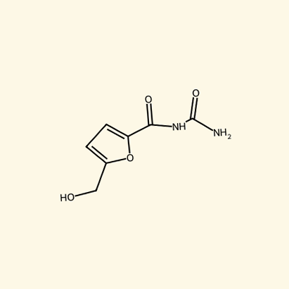 NC(=O)NC(=O)c1ccc(CO)o1